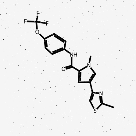 Cc1nc(-c2cc(C(=O)Nc3ccc(OC(F)(F)F)cc3)n(C)c2)cs1